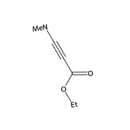 CCOC(=O)C#CNC